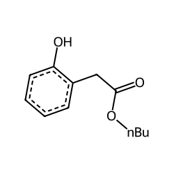 CCCCOC(=O)Cc1ccccc1O